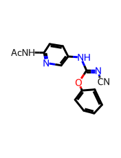 CC(=O)Nc1ccc(N/C(=N/C#N)Oc2ccccc2)cn1